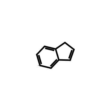 [c]1ccc2c(c1)C=CC2